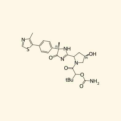 Cc1ncsc1-c1ccc([C@]2(C)NC(C3C[C@@H](O)CN3C(=O)C(OC(N)=O)C(C)(C)C)=NC2=O)cc1